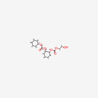 O=C(OCCO)OC1CCCCC1OC(=O)OC1CCCCC1